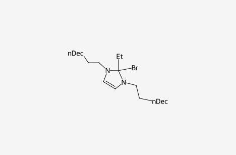 CCCCCCCCCCCCN1C=CN(CCCCCCCCCCCC)C1(Br)CC